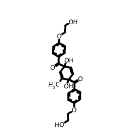 CC1=CC(O)(C(=O)c2ccc(OCCO)cc2)C=CC1(O)C(=O)c1ccc(OCCO)cc1